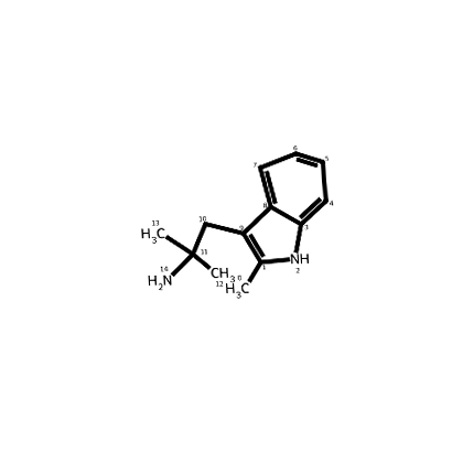 Cc1[nH]c2ccccc2c1CC(C)(C)N